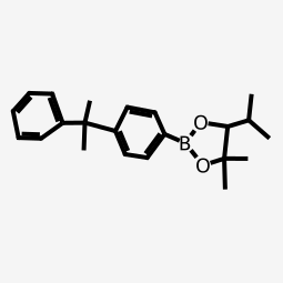 CC(C)C1OB(c2ccc(C(C)(C)c3ccccc3)cc2)OC1(C)C